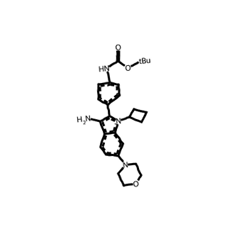 CC(C)(C)OC(=O)Nc1ccc(-c2c(N)c3ccc(N4CCOCC4)cc3n2C2CCC2)cc1